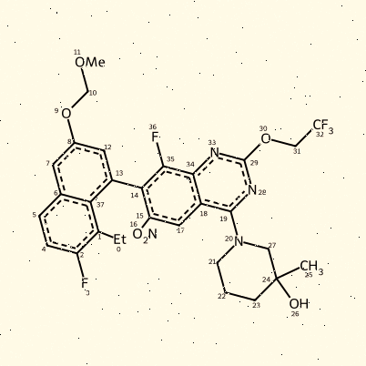 CCc1c(F)ccc2cc(OCOC)cc(-c3c([N+](=O)[O-])cc4c(N5CCCC(C)(O)C5)nc(OCC(F)(F)F)nc4c3F)c12